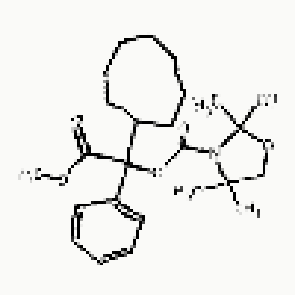 COC(=O)C(OC(=O)N1C(C)(C)COC1(C)C)(c1ccccc1)C1CCCCCCC1